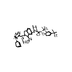 CCC(C)(C)c1ccc(OCC(=O)Nc2ccc3c(c2)C(=NO)C(Sc2nnnn2-c2ccccc2)C3)c(C(C)(C)CC)c1